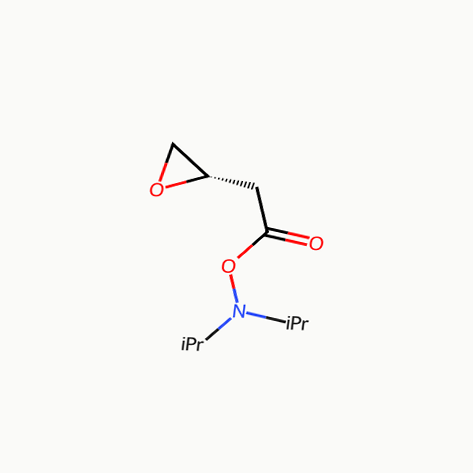 CC(C)N(OC(=O)C[C@H]1CO1)C(C)C